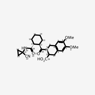 COc1cc2c(cc1OC)CN(C(=O)[C@@H]1CCCC[C@H]1C(=O)NC1(C#N)CC1)C(C(=O)O)C2